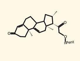 CCCCCOCC(=O)[C@H]1[C@@H](C)CC2C3CCC4=CC(=O)CC[C@]4(C)C3=CC[C@@]21C